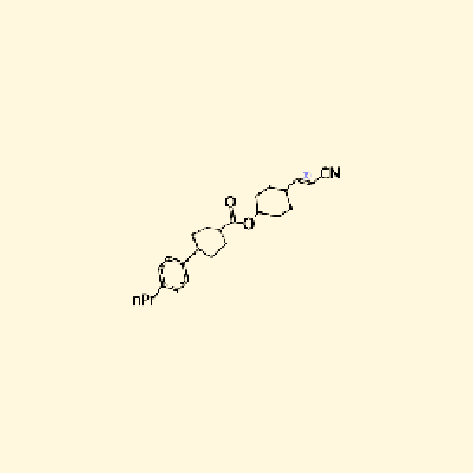 CCCc1ccc(C2CCC(C(=O)OC3CCC(/C=C/C#N)CC3)CC2)cc1